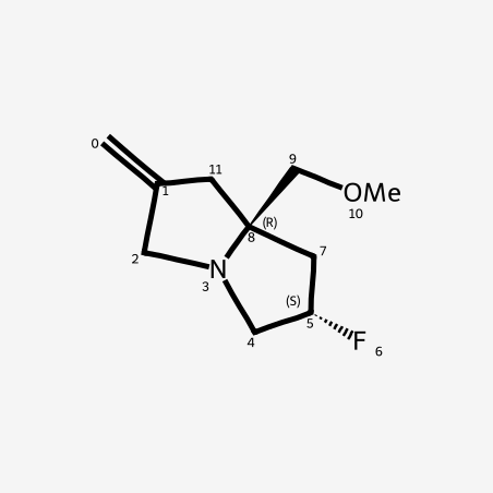 C=C1CN2C[C@@H](F)C[C@@]2(COC)C1